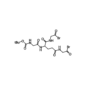 CC(C)(C)OC(=O)NCC(=O)NC(CCC(=O)NCC(=O)Br)C(=O)NCC(=O)Br